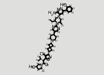 CCC1CN(c2cc(-c3ccccc3O)nnc2N)CC(C)N1c1ncc(C2CCN([C@H]3CC4(C[C@H](c5noc([C@H](C(=O)N6C[C@H](O)C[C@H]6C)C(C)C)c5Cl)C4)C3)CC2)cn1